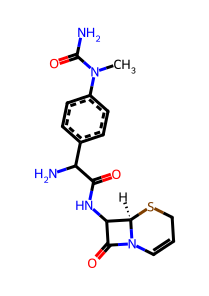 CN(C(N)=O)c1ccc(C(N)C(=O)NC2C(=O)N3C=CCS[C@H]23)cc1